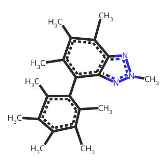 Cc1c(C)c(C)c(-c2c(C)c(C)c(C)c3nn(C)nc23)c(C)c1C